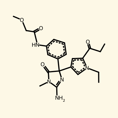 CCC(=O)c1cc(C2(c3cccc(NC(=O)COC)c3)N=C(N)N(C)C2=O)cn1CC